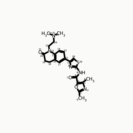 Cc1nc(C)c(C(=O)Nc2nc(-c3ccc4c(c3)CCC(=O)N4CCN(C)C)cs2)o1